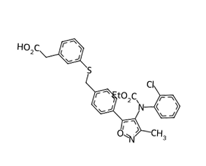 CCOC(=O)N(c1ccccc1Cl)c1c(C)noc1-c1ccc(CSc2cccc(CC(=O)O)c2)cc1